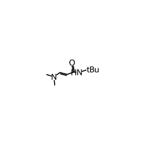 CN(C)/C=C/C(=O)NC(C)(C)C